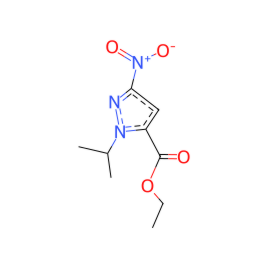 CCOC(=O)c1cc([N+](=O)[O-])nn1C(C)C